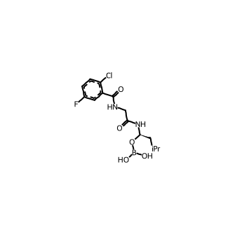 CC(C)C[C@H](NC(=O)CNC(=O)c1cc(F)ccc1Cl)OB(O)O